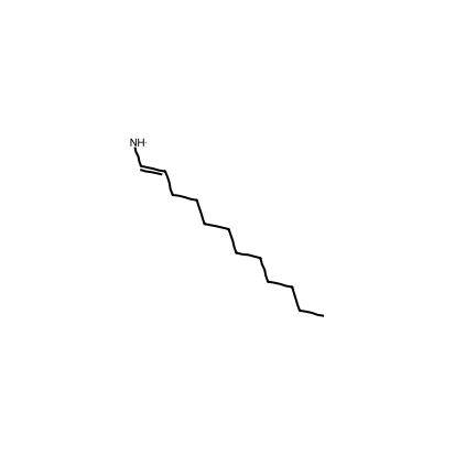 CCCCCCCCCCC=C[NH]